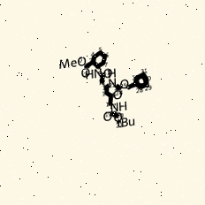 COC(=O)C1CCCCC1NC(=O)C[C@@H](CCCNC(=O)OC(C)(C)C)NC(=O)OCc1ccccc1